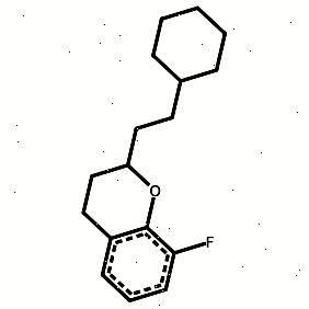 Fc1cccc2c1OC(CCC1CCCCC1)CC2